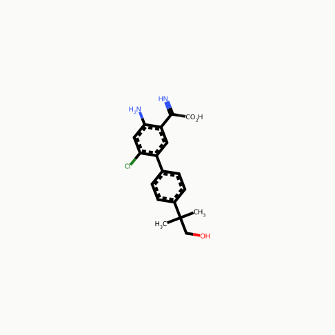 CC(C)(CO)c1ccc(-c2cc(C(=N)C(=O)O)c(N)cc2Cl)cc1